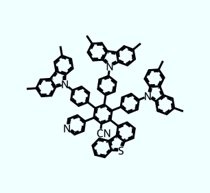 Cc1ccc2c(c1)c1cc(C)ccc1n2-c1ccc(-c2c(-c3ccncc3)c(C#N)c(-c3cccc4sc5ccccc5c34)c(-c3ccc(-n4c5ccc(C)cc5c5cc(C)ccc54)cc3)c2-c2ccc(-n3c4ccc(C)cc4c4cc(C)ccc43)cc2)cc1